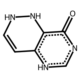 O=c1nc[nH]c2c1NNC=C2